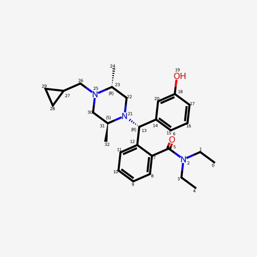 CCN(CC)C(=O)c1ccccc1[C@@H](c1cccc(O)c1)N1C[C@@H](C)N(CC2CC2)C[C@@H]1C